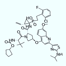 C=C[C@@H]1C[C@]1(NC(=O)[C@@H]1C[C@@H](Oc2cc(-c3csc(NC(C)C)n3)nc3cc(OC)ccc23)CN1C(=O)[C@@H](NC(=O)OC1CCCC1)C(C)(C)C)P(=O)(O)CCc1c(F)cccc1Cl